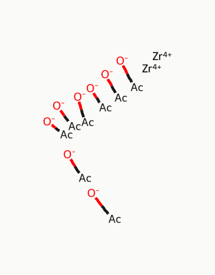 CC(=O)[O-].CC(=O)[O-].CC(=O)[O-].CC(=O)[O-].CC(=O)[O-].CC(=O)[O-].CC(=O)[O-].CC(=O)[O-].[Zr+4].[Zr+4]